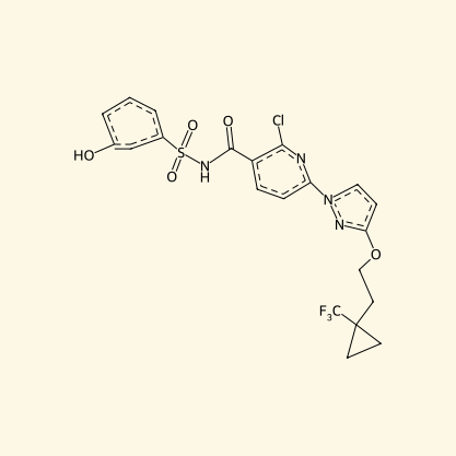 O=C(NS(=O)(=O)c1cccc(O)c1)c1ccc(-n2ccc(OCCC3(C(F)(F)F)CC3)n2)nc1Cl